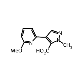 COc1cccc(-c2cnn(C)c2C(=O)O)n1